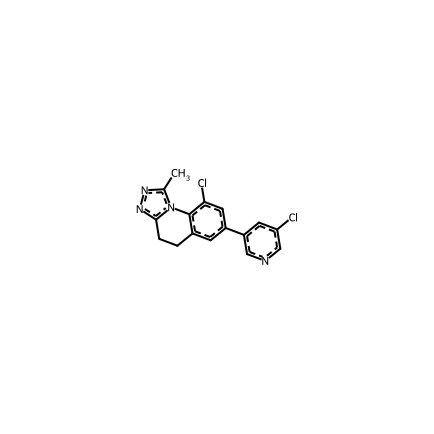 Cc1nnc2n1-c1c(Cl)cc(-c3cncc(Cl)c3)cc1CC2